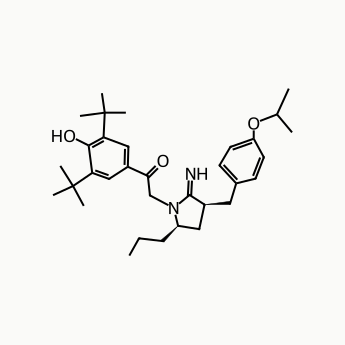 CCC[C@@H]1C[C@H](Cc2ccc(OC(C)C)cc2)C(=N)N1CC(=O)c1cc(C(C)(C)C)c(O)c(C(C)(C)C)c1